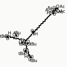 CC(=O)OC[C@@H](OC(C)=O)[C@H](OC(C)=O)[C@@H](OC(C)=O)[C@H](OC(C)=O)C(=O)NCCCCCCCCCCCCCCCCCC(=O)NCCCCCCC(CN(CCCCN(CCCNC(=O)OC(C)(C)C)C(=O)OC(C)(C)C)C(=O)OC(C)(C)C)CN(CCCCN(CCCNC(=O)OC(C)(C)C)C(=O)OC(C)(C)C)C(=O)OC(C)(C)C